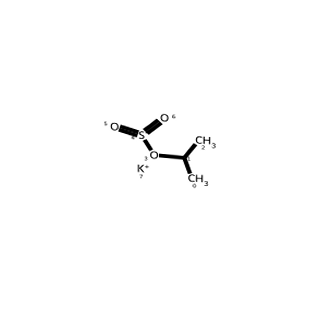 CC(C)O[S-](=O)=O.[K+]